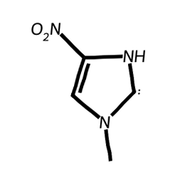 CN1[C]NC([N+](=O)[O-])=C1